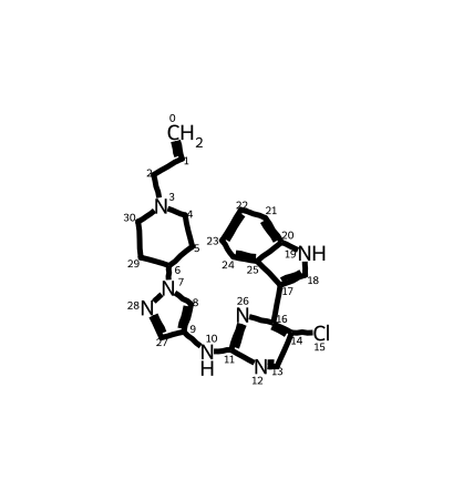 C=CCN1CCC(n2cc(Nc3ncc(Cl)c(-c4c[nH]c5ccccc45)n3)cn2)CC1